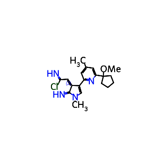 COC1(c2cc(C)cc(C3=CN(C)C(=N)/C3=C\C(=N)Cl)n2)CCCC1